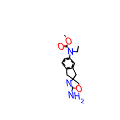 CCN(C(=O)OC)c1ccc2c(c1)CC1(COC(N)=N1)C2